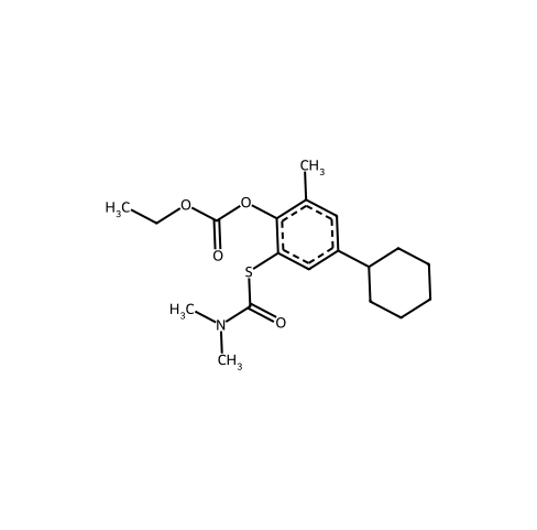 CCOC(=O)Oc1c(C)cc(C2CCCCC2)cc1SC(=O)N(C)C